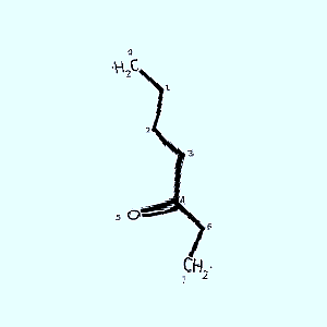 [CH2]CCCC(=O)C[CH2]